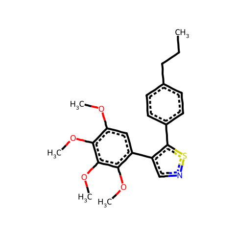 CCCc1ccc(-c2sncc2-c2cc(OC)c(OC)c(OC)c2OC)cc1